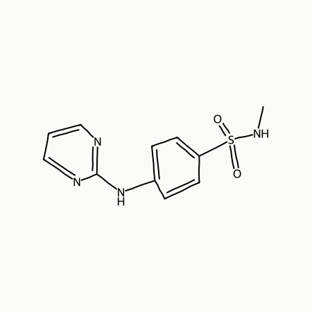 CNS(=O)(=O)c1ccc(Nc2ncccn2)cc1